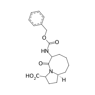 O=C(NC1CCCC[C@H]2CCC(C(=O)O)N2C1=O)OCc1ccccc1